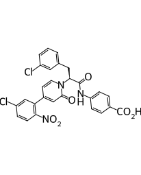 O=C(O)c1ccc(NC(=O)[C@H](Cc2cccc(Cl)c2)n2ccc(-c3cc(Cl)ccc3[N+](=O)[O-])cc2=O)cc1